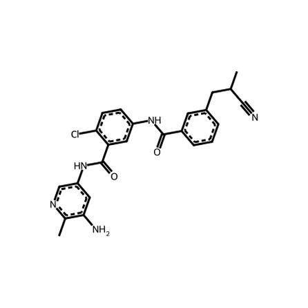 Cc1ncc(NC(=O)c2cc(NC(=O)c3cccc(CC(C)C#N)c3)ccc2Cl)cc1N